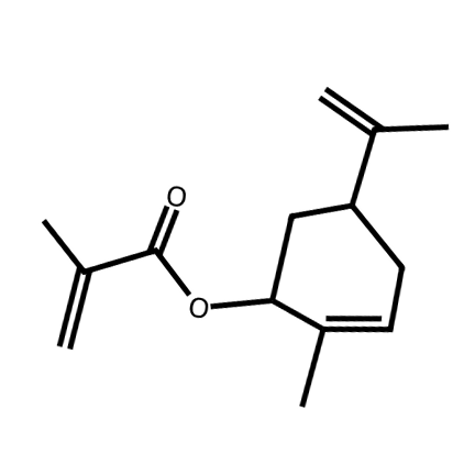 C=C(C)C(=O)OC1CC(C(=C)C)CC=C1C